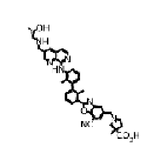 Cc1c(Nc2nccc3cc(CNC[C@@H](C)O)cnc23)cccc1-c1cccc(-c2nc3cc(CN4CC[C@@](C)(C(=O)O)C4)cc(C#N)c3o2)c1C